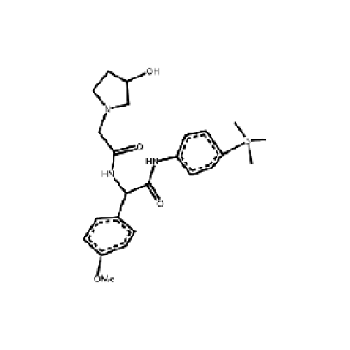 COc1ccc(C(NC(=O)CN2CCC(O)C2)C(=O)Nc2ccc(S(C)(C)C)cc2)cc1